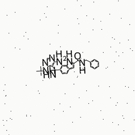 CC(C)(C)Nc1ncnc(N)c1C(=N)c1ccc2cc(C(=O)NCc3ccccc3)[nH]c2c1